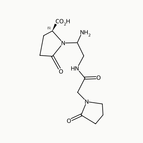 NC(CNC(=O)CN1CCCC1=O)N1C(=O)CC[C@H]1C(=O)O